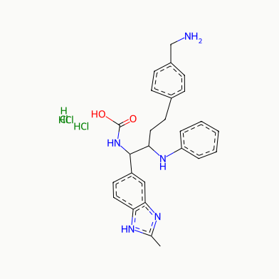 Cc1nc2cc(C(NC(=O)O)C(CCc3ccc(CN)cc3)Nc3ccccc3)ccc2[nH]1.Cl.Cl.Cl